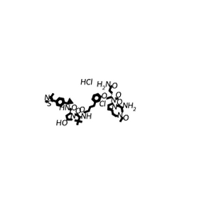 CC(=O)N1CCC2=CC[C@@H](N(C=O)[C@@H](CCC(N)=O)COc3cccc(CCCC(=O)N[C@H](C(=O)N4C[C@H](O)C[C@H]4C(=O)NC4(c5ccc(-c6scnc6C)cc5)CC4)C(C)(C)C)c3Cl)N2C(=O)[C@@H](N)C1.Cl